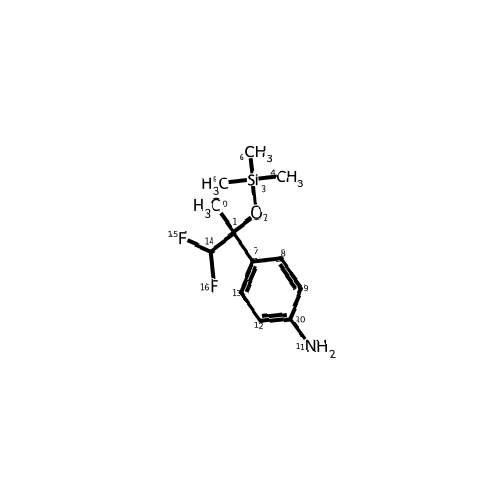 CC(O[Si](C)(C)C)(c1ccc(N)cc1)C(F)F